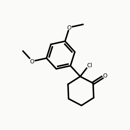 COc1cc(OC)cc(C2(Cl)CCCCC2=O)c1